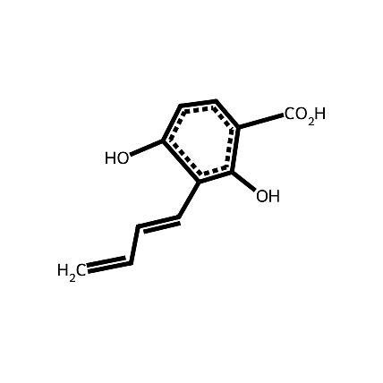 C=CC=Cc1c(O)ccc(C(=O)O)c1O